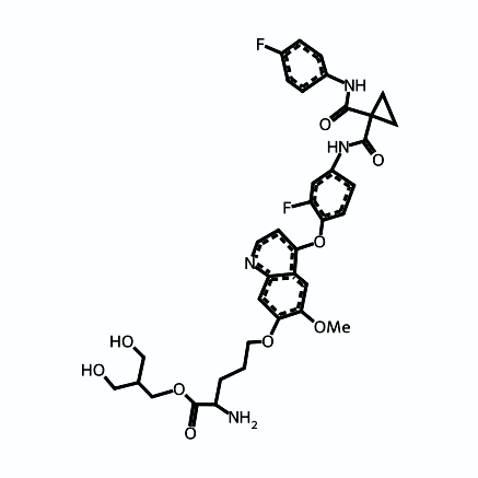 COc1cc2c(Oc3ccc(NC(=O)C4(C(=O)Nc5ccc(F)cc5)CC4)cc3F)ccnc2cc1OCCCC(N)C(=O)OCC(CO)CO